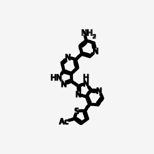 CC(=O)c1ccc(-c2ccnc3[nH]c(-c4n[nH]c5cnc(-c6cncc(N)c6)cc45)nc23)s1